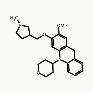 COc1cc2c(cc1OCC1CCN(C)C1)N(C1CCOCC1)c1ccccc1C2